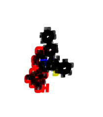 C[C@@H]([C@@H](Cc1csc2ccccc12)c1ccc(-c2ccccc2)cc1)N(CC(=O)O)C(=O)[C@@H]1COC(OC(=O)O)(OC(=O)O)O1